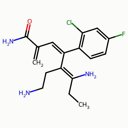 C=C(/C=C(\C(CCN)=C(/N)CC)c1ccc(F)cc1Cl)C(N)=O